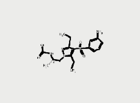 CCc1nn(C[C@H](C)NC(=O)O)c(CC)c1S(=O)(=O)c1cccc(N)c1